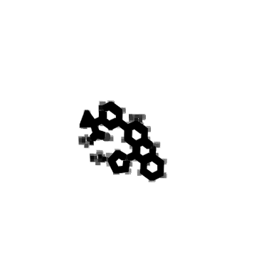 Cl.NC(=O)C1(c2cc(-c3ccc4nc5c(c(N6CC[C@H](N)C6)c4c3)CCCC5)ccn2)CC1